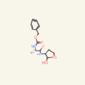 CC(C)[C@H](NC(=O)OCc1ccccc1)C(=O)NC1CCOC1O